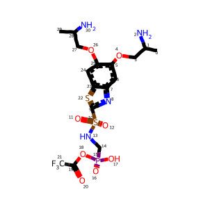 CC(N)COc1cc2nc(S(=O)(=O)NCP(=O)(O)OC(=O)C(F)(F)F)sc2cc1OCC(C)N